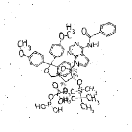 COc1ccc(C(OC[C@H]2O[C@@H](n3ccc4c(NC(=O)c5ccccc5)ncnc43)[C@H](O[Si](C)(C)C(C)(C)C)[C@@H]2OP(=O)(O)OP(O)O)(c2ccccc2)c2ccc(OC)cc2)cc1